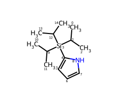 CC(C)[Si](c1[c]cc[nH]1)(C(C)C)C(C)C